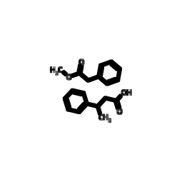 CC(CC(=O)O)c1ccccc1.COC(=O)Cc1ccccc1